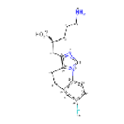 NCCC[C@@H](Cc1ncn2c1CCc1cc(F)ccc1-2)C(=O)O